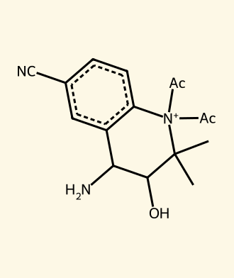 CC(=O)[N+]1(C(C)=O)c2ccc(C#N)cc2C(N)C(O)C1(C)C